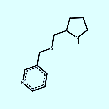 c1cncc(CSCC2CCCN2)c1